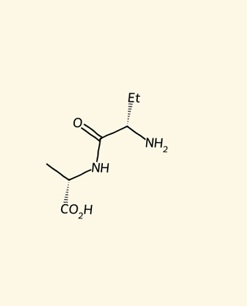 CC[C@H](N)C(=O)N[C@@H](C)C(=O)O